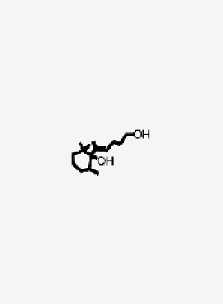 CC(=CC=CCO)C1(O)C(C)CCCC1(C)C